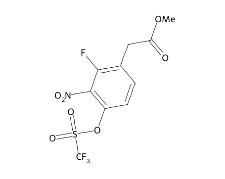 COC(=O)Cc1ccc(OS(=O)(=O)C(F)(F)F)c([N+](=O)[O-])c1F